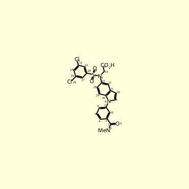 CNC(=O)c1cccc(-n2ccc3cc(N(CC(=O)O)S(=O)(=O)c4cc(Cl)cc(Cl)c4)ccc32)c1